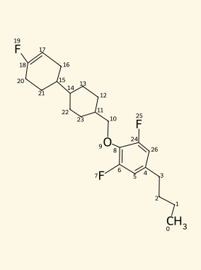 CCCCc1cc(F)c(OCC2CCC(C3CC=C(F)CC3)CC2)c(F)c1